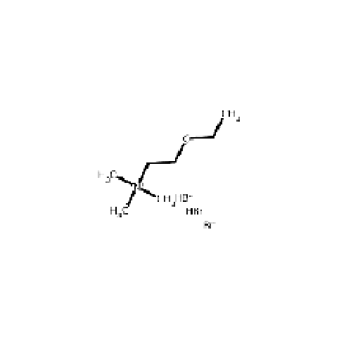 Br.Br.CCOCC[N+](C)(C)C.[Br-]